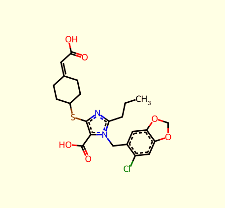 CCCc1nc(SC2CCC(=CC(=O)O)CC2)c(C(=O)O)n1Cc1cc2c(cc1Cl)OCO2